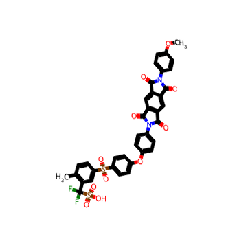 COc1ccc(-n2c(=O)c3cc4c(=O)n(-c5ccc(Oc6ccc(S(=O)(=O)c7ccc(C)c(C(F)(F)S(=O)(=O)O)c7)cc6)cc5)c(=O)c4cc3c2=O)cc1